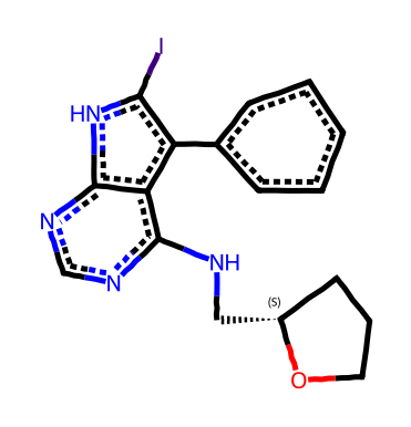 Ic1[nH]c2ncnc(NC[C@@H]3CCCO3)c2c1-c1ccccc1